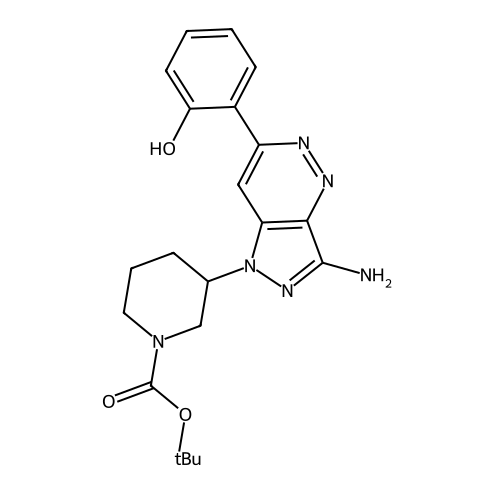 CC(C)(C)OC(=O)N1CCCC(n2nc(N)c3nnc(-c4ccccc4O)cc32)C1